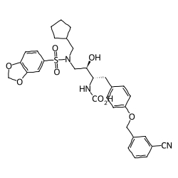 N#Cc1cccc(COc2ccc(C[C@H](NC(=O)O)[C@H](O)CN(CC3CCCC3)S(=O)(=O)c3ccc4c(c3)OCO4)cc2)c1